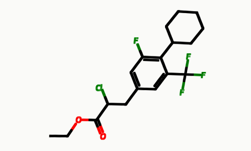 CCOC(=O)C(Cl)Cc1cc(F)c(C2CCCCC2)c(C(F)(F)F)c1